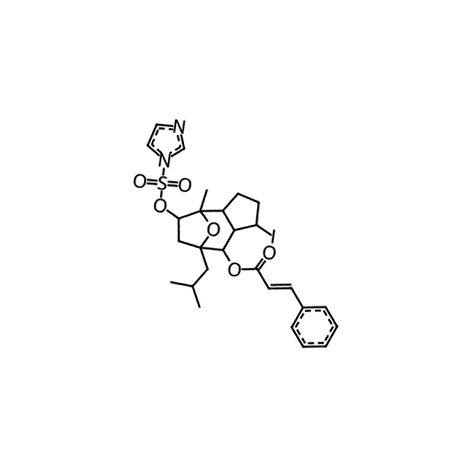 CC(C)CC12CC(OS(=O)(=O)n3ccnc3)C(C)(O1)C1CCC(I)C1C2OC(=O)/C=C/c1ccccc1